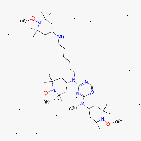 CCCCN(c1ncnc(N(CCCCCCNC2CC(C)(C)N(OCCC)C(C)(C)C2)C2CC(C)(C)N(OCCC)C(C)(C)C2)n1)C1CC(C)(C)N(OCCC)C(C)(C)C1